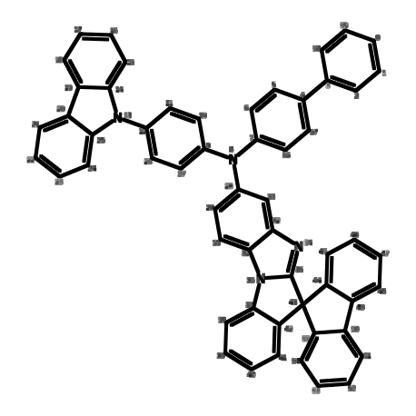 c1ccc(-c2ccc(N(c3ccc(-n4c5ccccc5c5ccccc54)cc3)c3ccc4c(c3)nc3n4-c4ccccc4C34c3ccccc3-c3ccccc34)cc2)cc1